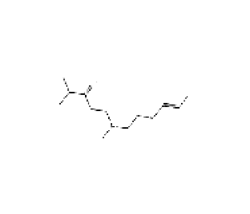 C/C=C/CCCC(C)CCC(=O)C(C)C